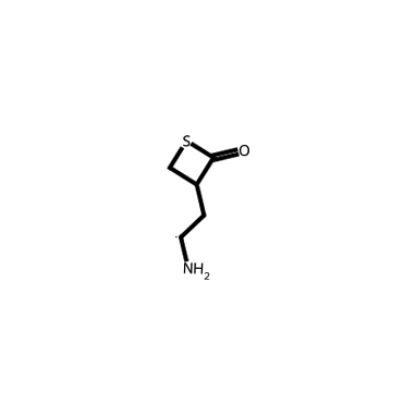 N[CH]CC1CSC1=O